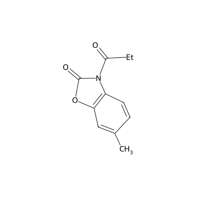 CCC(=O)n1c(=O)oc2cc(C)ccc21